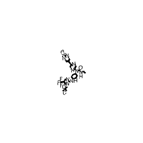 CCNC(=O)N(c1cnc(-c2cnc(OC)nc2)cn1)[C@H]1CC[C@H](Nc2ncc(C(F)(F)F)c(OC3(C)COC3)n2)CC1